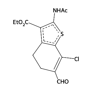 CCOC(=O)c1c(NC(C)=O)sc2c1CCC(C=O)=C2Cl